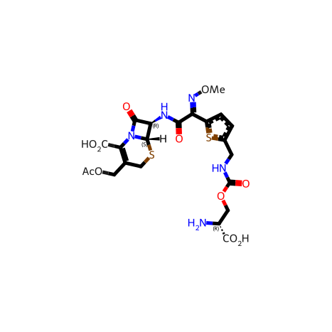 CON=C(C(=O)N[C@@H]1C(=O)N2C(C(=O)O)=C(COC(C)=O)CS[C@@H]12)c1ccc(CNC(=O)OC[C@@H](N)C(=O)O)s1